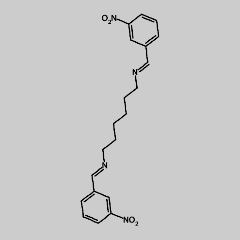 O=[N+]([O-])c1cccc(C=NCCCCCCN=Cc2cccc([N+](=O)[O-])c2)c1